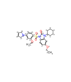 CCOc1ccc2c(c1)n(C1CCCCC1)c(=O)n2S(=O)(=O)c1ccc(N2CC=CC2)cc1OC